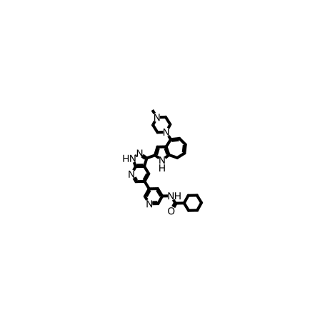 CN1CCN(C2=CC=CCc3[nH]c(-c4n[nH]c5ncc(-c6cncc(NC(=O)C7CCCCC7)c6)cc45)cc32)CC1